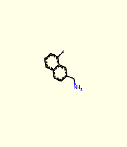 NCc1ccc2cccc(I)c2c1